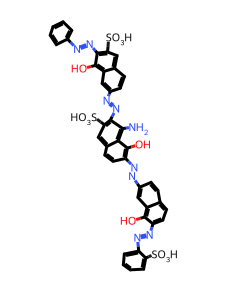 Nc1c(N=Nc2ccc3cc(S(=O)(=O)O)c(N=Nc4ccccc4)c(O)c3c2)c(S(=O)(=O)O)cc2ccc(N=Nc3ccc4ccc(N=Nc5ccccc5S(=O)(=O)O)c(O)c4c3)c(O)c12